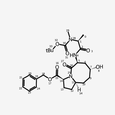 C[C@@H](C(=O)N[C@H]1C[C@H](O)CC[C@H]2CC[C@@H](C(=O)OCc3ccccc3)N2C1=O)N(C)C(=O)OC(C)(C)C